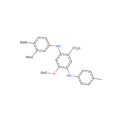 CNc1ccc(Nc2cc(OC=O)c(Nc3ccc(C)cc3)cc2C(=O)O)cc1OC